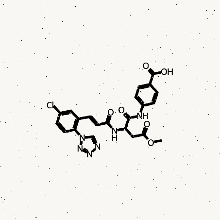 COC(=O)CC(NC(=O)C=Cc1cc(Cl)ccc1-n1cnnn1)C(=O)Nc1ccc(C(=O)O)cc1